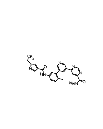 CNC(=O)c1cc(-c2cncc(-c3cc(NC(=O)c4cnn(CC(F)(F)F)c4)ccc3C)c2)ncn1